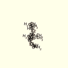 CC(C)=CCn1c(N2CCCC(NC(=O)OC(C)(C)C)C2)nc2c1c(=O)n(CC(=O)c1cccc(NC(N)=O)c1)c(=O)n2C